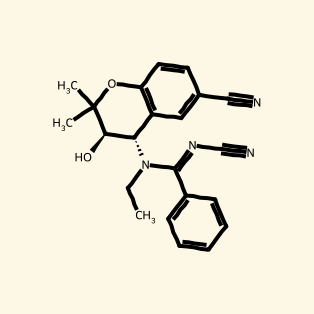 CCN(C(=NC#N)c1ccccc1)[C@H]1c2cc(C#N)ccc2OC(C)(C)[C@@H]1O